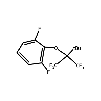 CC(C)(C)C(Oc1c(F)cccc1F)(C(F)(F)F)C(F)(F)F